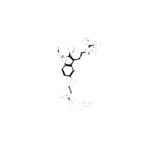 CCOC(=O)NCCOc1ccc2c(c1)c(CCNC(=O)CC)c(C)n2SI